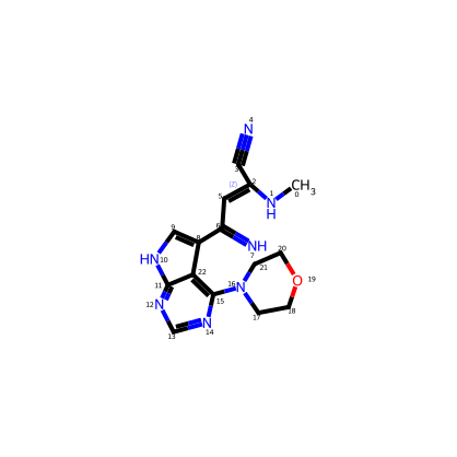 CN/C(C#N)=C\C(=N)c1c[nH]c2ncnc(N3CCOCC3)c12